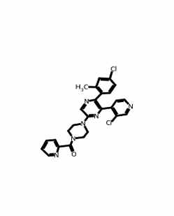 Cc1cc(Cl)ccc1-c1ncc(N2CCN(C(=O)c3ccccn3)CC2)nc1-c1ccncc1Cl